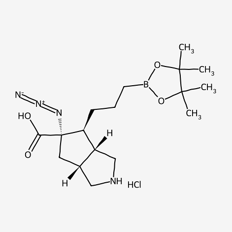 CC1(C)OB(CCC[C@H]2[C@@H]3CNC[C@@H]3C[C@@]2(N=[N+]=[N-])C(=O)O)OC1(C)C.Cl